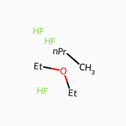 CCCC.CCOCC.F.F.F